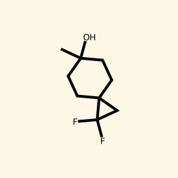 CC1(O)CCC2(CC1)CC2(F)F